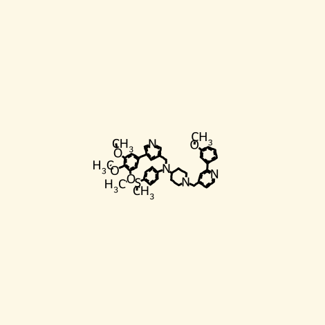 COc1cccc(-c2cc(CN3CCC(N(Cc4cncc(-c5cc(OC)c(OC)c(OC)c5)c4)c4ccc(SC)cc4)CC3)ccn2)c1